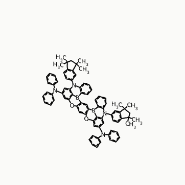 CC1(C)CC(C)(C)c2cc(N3c4ccccc4B4c5cc6c(cc5Oc5cc(N(c7ccccc7)c7ccccc7)cc3c54)Oc3cc(N(c4ccccc4)c4ccccc4)cc4c3B6c3ccccc3N4c3ccc4c(c3)C(C)(C)CC4(C)C)ccc21